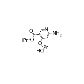 CC(C)OC(=O)c1cnc(N)cc1OC(C)C.Cl